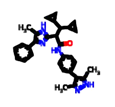 Cc1n[nH]c(C)c1-c1ccc(NC(=O)C(c2nc(-c3ccccc3)c(C)[nH]2)C(C2CC2)C2CC2)cc1